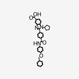 O=C(O)c1ccc2c(c1)nc(-c1ccc(C(=O)Nc3ccc(OCc4ccccc4)cc3)cc1)n2C1CCCC1